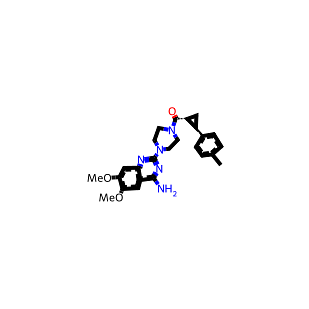 COc1cc2nc(N3CCN(C(=O)[C@@H]4C[C@H]4c4ccc(C)cc4)CC3)nc(N)c2cc1OC